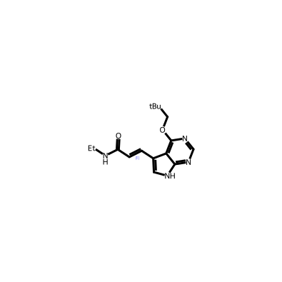 CCNC(=O)/C=C/c1c[nH]c2ncnc(OCC(C)(C)C)c12